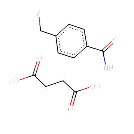 NC(=O)c1ccc(CF)cc1.O=C(O)CCC(=O)O